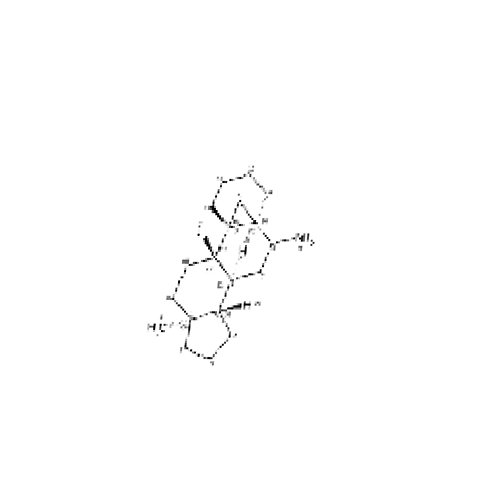 C[C@@]12CCC[C@H]1[C@@H]1CC(N)[C@@]34CCCC[C@]3(C4)[C@H]1CC2